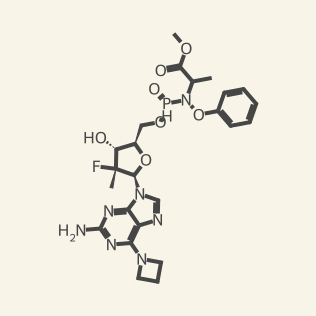 COC(=O)C(C)N(Oc1ccccc1)[PH](=O)OC[C@H]1O[C@@H](n2cnc3c(N4CCC4)nc(N)nc32)[C@](C)(F)[C@@H]1O